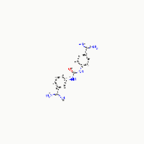 N=C(N)c1ccc(NC(=O)Nc2cccc(C(=N)N)c2)cc1